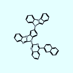 c1ccc2cc(-c3nc(-n4c5ccc(-n6c7ccccc7n7c8ccccc8cc67)cc5n5c6ccccc6nc45)nc4ccccc34)ccc2c1